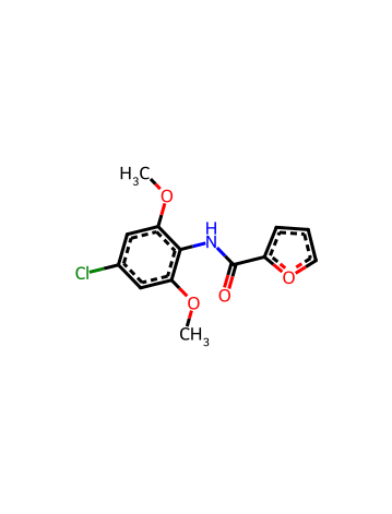 COc1cc(Cl)cc(OC)c1NC(=O)c1ccco1